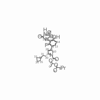 CC(OC(=O)C(C)C)OC(=O)N1CC(c2ccc(O)c(N3CC(=O)NS3(=O)=O)c2F)=C[C@H]1CCC1CCC1